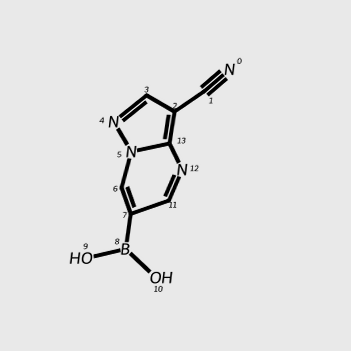 N#Cc1cnn2cc(B(O)O)cnc12